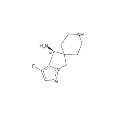 N[C@@H]1c2c(F)cnn2CC12CCNCC2